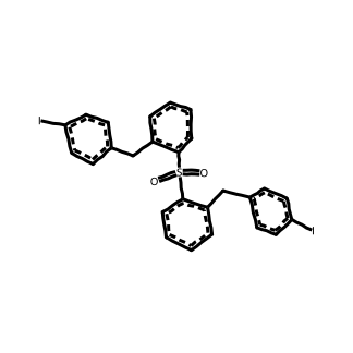 O=S(=O)(c1ccccc1Cc1ccc(I)cc1)c1ccccc1Cc1ccc(I)cc1